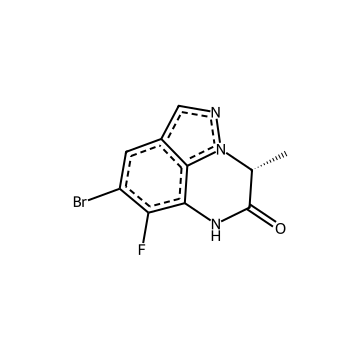 C[C@@H]1C(=O)Nc2c(F)c(Br)cc3cnn1c23